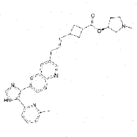 Cc1cccc(-c2[nH]cnc2-c2ccc3ncc(C/C=C/C4CC(C(=O)O[C@H]5CCN(C)C5)C4)cc3c2)n1